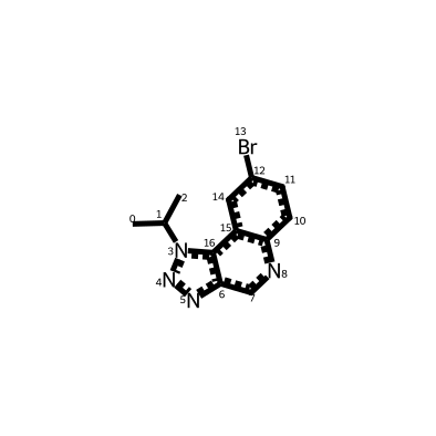 CC(C)n1nnc2cnc3ccc(Br)cc3c21